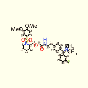 COc1ccc(S(=O)(=O)N2CCCCC2COCC(=O)NCCC2CCC(C(c3cccc(F)c3)N(C)C)CC2)cc1OC